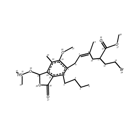 CCCCc1c(CC=C(C)CC(CCBr)C(=O)OC)c(OC)c(C)c2c1C(=O)OC2O[SiH](C)C